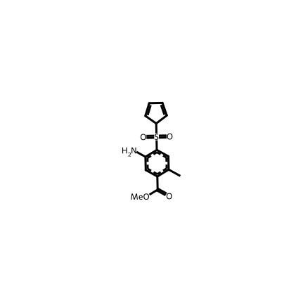 COC(=O)c1cc(N)c(S(=O)(=O)C2C=CC=C2)cc1C